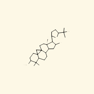 COC1CCC23CC24CC[C@]2(C)C([C@@]5(C)CCC(C(C)(C)O)O5)C(O)C[C@@]2(C)C4CCC3C1(C)C